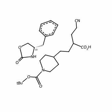 CC(C)(C)OC(=O)N1CCC(CCC(CCC#N)C(=O)O)CC1.O=C1N[C@@H](Cc2ccccc2)CO1